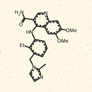 CCc1c(Cn2ccnc2C)cccc1Nc1c(C(N)=O)cnc2cc(OC)c(OC)cc12